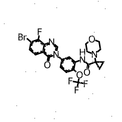 O=C(Nc1cc(-n2cnc3c(F)c(Br)ccc3c2=O)ccc1OC(F)(F)F)C1(N2CCOCC2)CC1